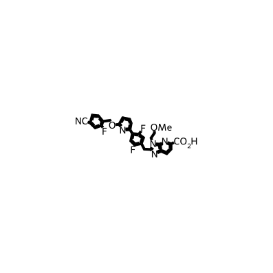 COCCn1c(Cc2cc(F)c(-c3cccc(OCc4ccc(C#N)cc4F)n3)cc2F)nc2ccc(C(=O)O)nc21